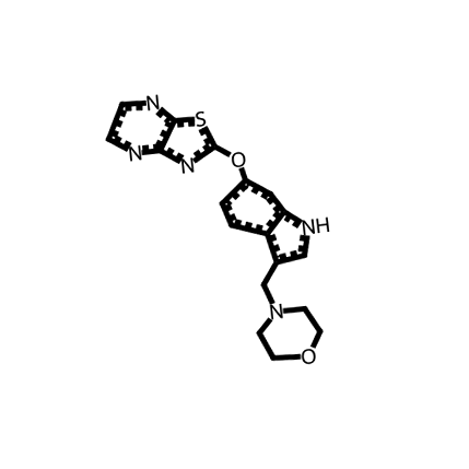 c1cnc2sc(Oc3ccc4c(CN5CCOCC5)c[nH]c4c3)nc2n1